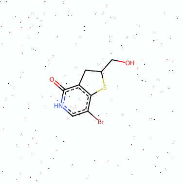 O=c1[nH]cc(Br)c2c1CC(CO)S2